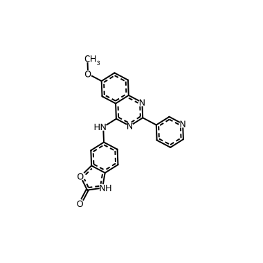 COc1ccc2nc(-c3cccnc3)nc(Nc3ccc4[nH]c(=O)oc4c3)c2c1